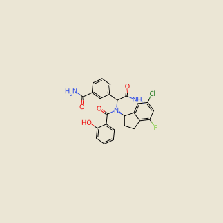 NC(=O)c1cccc(C(C(N)=O)N(C(=O)c2ccccc2O)[C@@H]2CCc3c(F)cc(Cl)cc32)c1